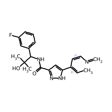 C=N/C=C\C(=C/C)c1cc(C(=O)NC(c2cccc(F)c2)C(C)(C)O)n[nH]1